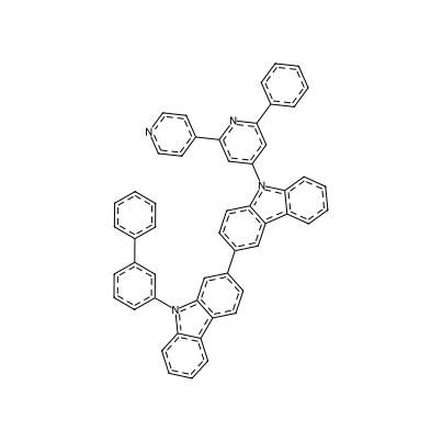 c1ccc(-c2cccc(-n3c4ccccc4c4ccc(-c5ccc6c(c5)c5ccccc5n6-c5cc(-c6ccccc6)nc(-c6ccncc6)c5)cc43)c2)cc1